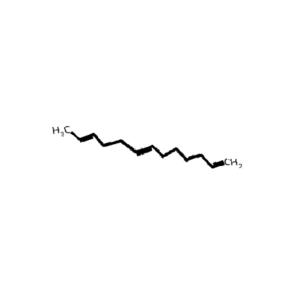 C=CCCCCC=CCCC=CC